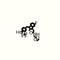 CC1=C(CC(=O)NCC2OCCO2)c2cc(F)ccc2C1=Cc1ccc(O)c(OC(F)(F)F)c1